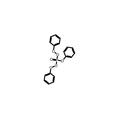 O=P(OOc1ccccc1)(OOc1ccccc1)Oc1ccccc1